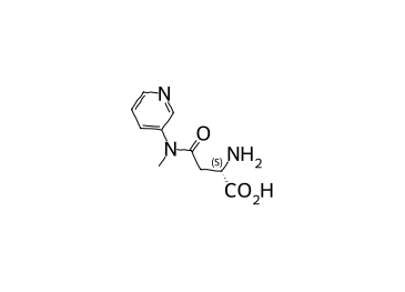 CN(C(=O)C[C@H](N)C(=O)O)c1cccnc1